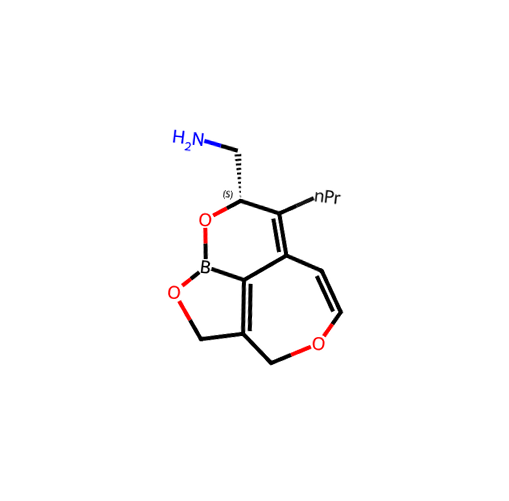 CCCC1=C2C=COCC3=C2B(OC3)O[C@@H]1CN